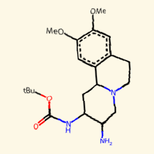 COc1cc2c(cc1OC)C1CC(NC(=O)OC(C)(C)C)C(N)CN1CC2